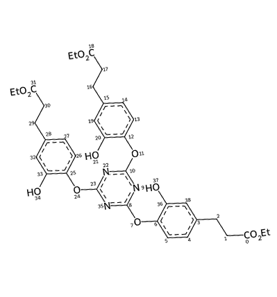 CCOC(=O)CCc1ccc(Oc2nc(Oc3ccc(CCC(=O)OCC)cc3O)nc(Oc3ccc(CCC(=O)OCC)cc3O)n2)c(O)c1